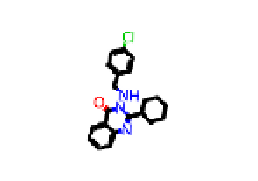 O=c1c2ccccc2nc(C2CCCCC2)n1NCc1ccc(Cl)cc1